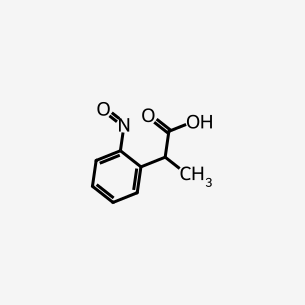 CC(C(=O)O)c1ccccc1N=O